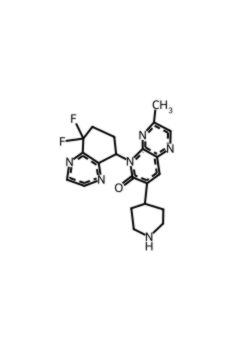 Cc1cnc2cc(C3CCNCC3)c(=O)n(C3CCC(F)(F)c4nccnc43)c2n1